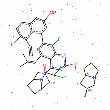 C#Cc1c(F)ccc2cc(O)cc(-c3nc(C=C(C)C)c4c(N5CC6CCC(C5)N6C(=O)C(F)(F)F)nc(OC[C@]56CCCN5C[C@@H](F)C6)nc4c3F)c12